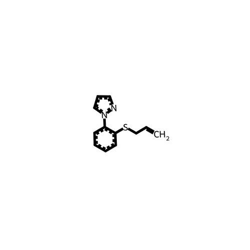 C=CCSc1ccccc1-n1cccn1